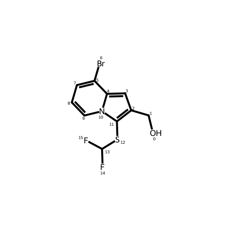 OCc1cc2c(Br)cccn2c1SC(F)F